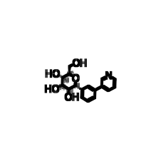 OC[C@H]1O[C@H](c2cccc(-c3cccnc3)c2)[C@@H](O)[C@@H](O)[C@@H]1O